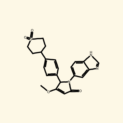 COC1=CC(=O)N(c2ccc3[nH]cnc3c2)C1c1ccc(C2CCS(=O)(=O)CC2)cc1